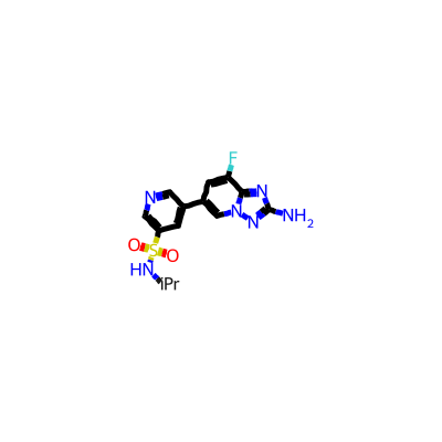 CC(C)NS(=O)(=O)c1cncc(-c2cc(F)c3nc(N)nn3c2)c1